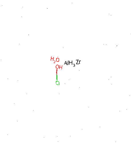 O.OCl.[AlH3].[Zr]